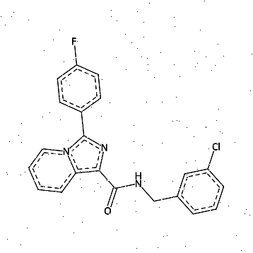 O=C(NCc1cccc(Cl)c1)c1nc(-c2ccc(F)cc2)n2ccccc12